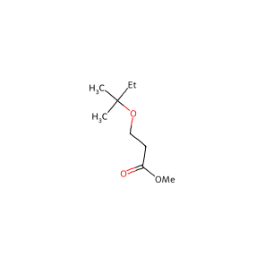 CCC(C)(C)OCCC(=O)OC